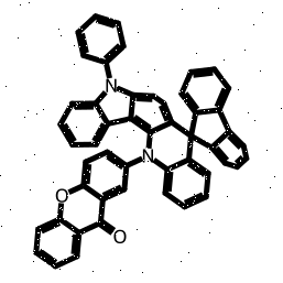 O=c1c2ccccc2oc2ccc(N3c4ccccc4C4(c5ccccc5-c5ccccc54)c4ccc5c(c43)c3ccccc3n5-c3ccccc3)cc12